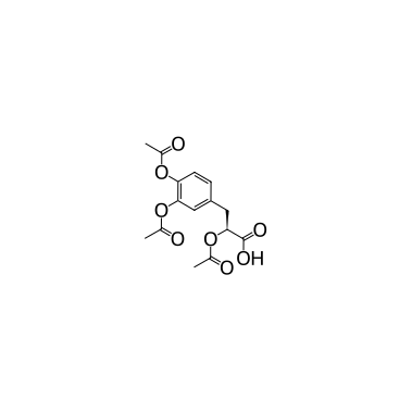 CC(=O)Oc1ccc(C[C@H](OC(C)=O)C(=O)O)cc1OC(C)=O